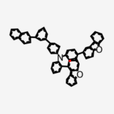 c1cc(-c2ccc(N(c3ccc(-c4ccc5oc6ccccc6c5c4)cc3)c3ccccc3-c3cccc4oc5ccccc5c34)cc2)cc(-c2ccc3ccccc3c2)c1